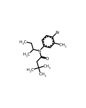 CCC(C)N(C(=O)CC(C)(C)C)c1ccc(Br)c(C)c1